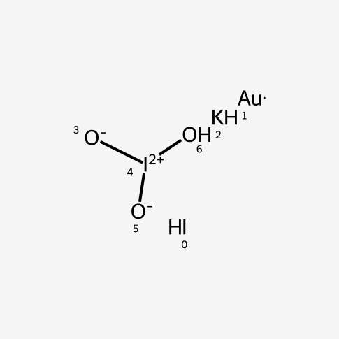 I.[Au].[KH].[O-][I+2]([O-])O